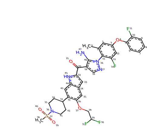 Cc1cc(Oc2ccccc2F)cc(F)c1-n1ncc(C(=O)c2cc3cc(OCC(F)F)c(C4CCN(S(C)(=O)=O)CC4)cc3[nH]2)c1N